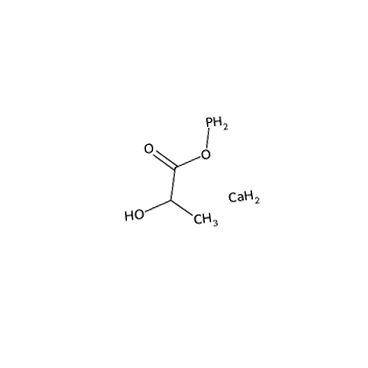 CC(O)C(=O)OP.[CaH2]